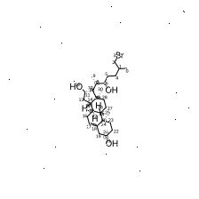 CC(CBr)CCC(O)[C@@H](C)[C@H]1C(O)C[C@H]2[C@@H]3CC=C4C[C@@H](O)CC[C@]4(C)[C@H]3CC[C@]12C